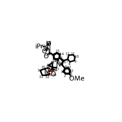 COc1ccc(-c2c(C3CCCCC3)c3ccc(C(=O)NS(=O)(=O)C(C)C)cc3n2CC2(C(=O)N3C4CCC3CN(C)C4)CC2)cc1